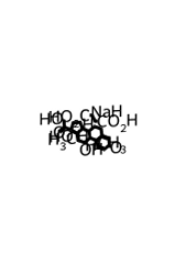 C[C@]12C=CC(=O)C=C1CC[C@@H]1[C@@H]2[C@@H](O)C[C@@]2(C)[C@H]1CC[C@]2(O)C(=O)CO.O=C(O)CCC(=O)O.[NaH]